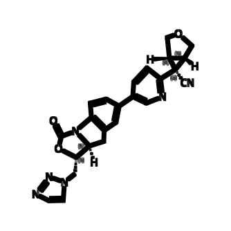 N#C[C@]1(c2ccc(-c3ccc4c(c3)C[C@H]3[C@H](Cn5ccnn5)OC(=O)N43)cn2)[C@@H]2COC[C@@H]21